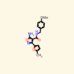 COc1ccc(CNC(=O)c2c(-c3ccc(C)o3)noc2N)cc1